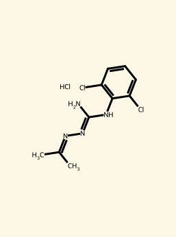 CC(C)=N/N=C(\N)Nc1c(Cl)cccc1Cl.Cl